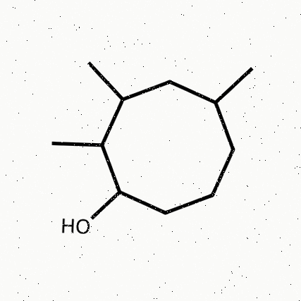 CC1CCCC(O)C(C)C(C)C1